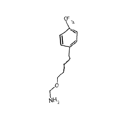 NCOCCCCc1ccc(C(F)(F)F)cc1